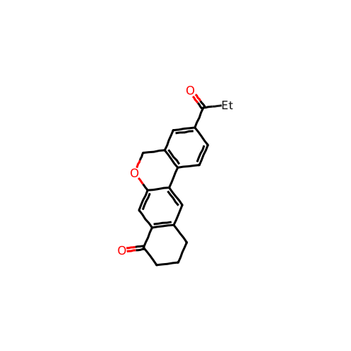 CCC(=O)c1ccc2c(c1)COc1cc3c(cc1-2)CCCC3=O